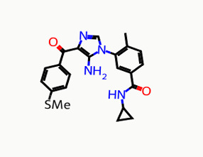 CSc1ccc(C(=O)c2ncn(-c3cc(C(=O)NC4CC4)ccc3C)c2N)cc1